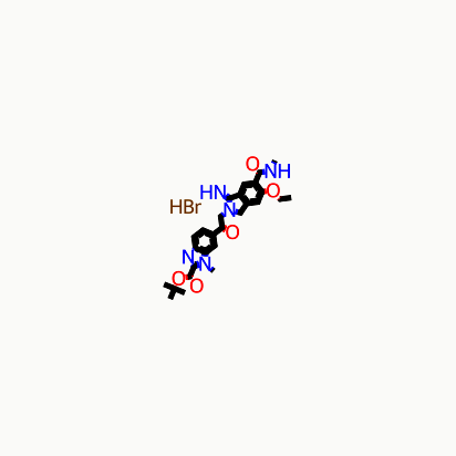 Br.CCOc1cc2c(cc1C(=O)NC)C(=N)N(CC(=O)c1ccc3nc(C(=O)OC(C)(C)C)n(C)c3c1)C2